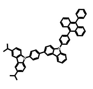 CC(C)c1ccc2c(c1)c1cc(C(C)C)ccc1n2-c1ccc(-c2ccc3c(c2)c2ccccc2n3-c2ccc(-c3c4ccccc4c(-c4ccccc4)c4ccccc34)cc2)cc1